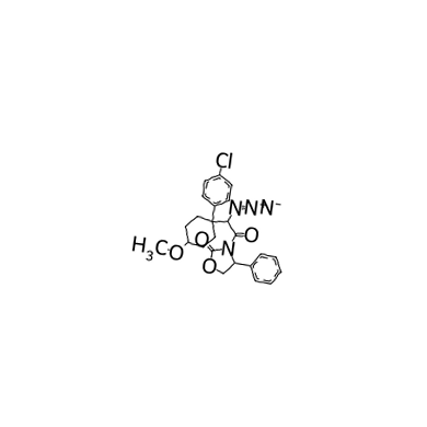 COC1CCC(c2ccc(Cl)cc2)(C(N=[N+]=[N-])C(=O)N2C(=O)OCC2c2ccccc2)CC1